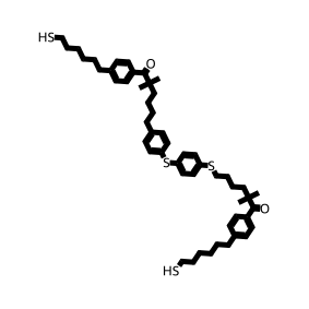 CC(C)(CCCCSc1ccc(Sc2ccc(CCCCC(C)(C)C(=O)c3ccc(CCCCCCS)cc3)cc2)cc1)C(=O)c1ccc(CCCCCCS)cc1